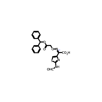 O=CNc1nc(/C(=N\OCC(=O)OC(c2ccccc2)c2ccccc2)C(=O)O)cs1